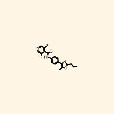 CCCc1nc(-c2ccc(NC(=O)c3c(F)cncc3F)cc2)c(C)o1